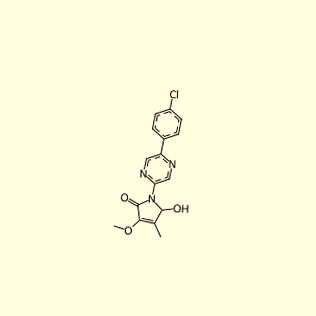 COC1=C(C)C(O)N(c2cnc(-c3ccc(Cl)cc3)cn2)C1=O